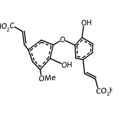 COc1cc(/C=C/C(=O)O)cc(Oc2cc(/C=C/C(=O)O)ccc2O)c1O